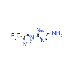 Nc1cnc(-n2cnc(C(F)(F)F)c2)nc1